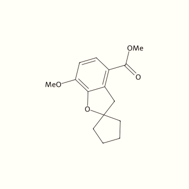 COC(=O)c1ccc(OC)c2c1CC1(CCCC1)O2